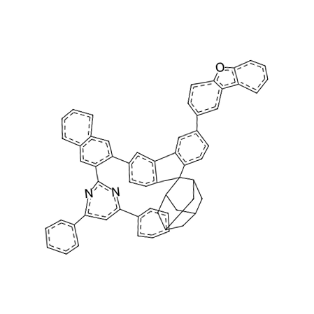 c1ccc(-c2cc(-c3ccccc3)nc(-c3cc4ccccc4cc3-c3ccc4c(c3)-c3cc(-c5ccc6oc7ccccc7c6c5)ccc3C43C4CC5CC(C4)CC3C5)n2)cc1